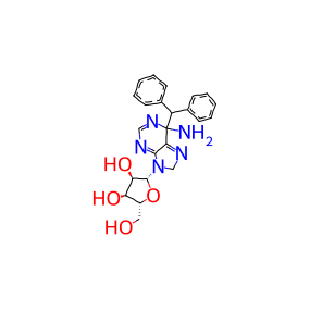 NC1(C(c2ccccc2)c2ccccc2)N=CN=C2C1=NCN2[C@@H]1O[C@H](CO)[C@@H](O)[C@H]1O